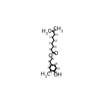 Cc1cc(CCOC(=O)CCCCCCC(C)C)ccc1O